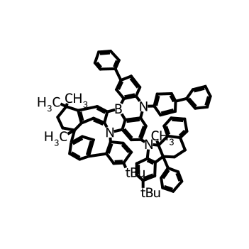 CC(C)(C)c1ccc2c(c1)-c1ccc(cc1)C1(C)CCC(C)(C)c3cc4c(cc31)N2c1cc(N2c3ccc(C(C)(C)C)cc3C3(c5ccccc5)CCc5ccccc5C23C)cc2c1B4c1cc(-c3ccccc3)ccc1N2c1ccc(-c2ccccc2)cc1